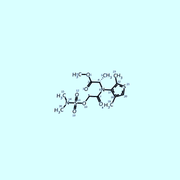 COC(=O)[C@H](C)N(C(=O)COS(=O)(=O)N(C)C)c1c(C)csc1C